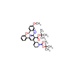 COc1ccc(COc2ccccc2-c2cc(C3=CCCN(C(=O)OC(C)(C)C)C3)c(C(=O)OC(C)(C)C)c(N)n2)cc1